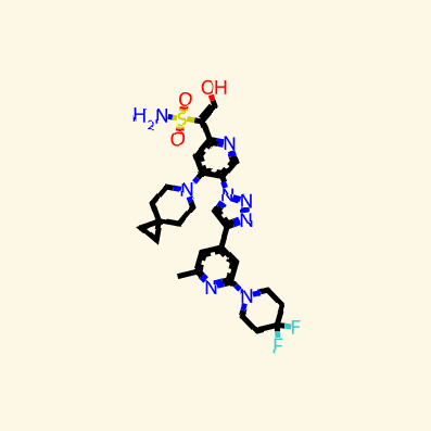 Cc1cc(-c2cn(-c3cnc(C(=CO)S(N)(=O)=O)cc3N3CCC4(CC3)CC4)nn2)cc(N2CCC(F)(F)CC2)n1